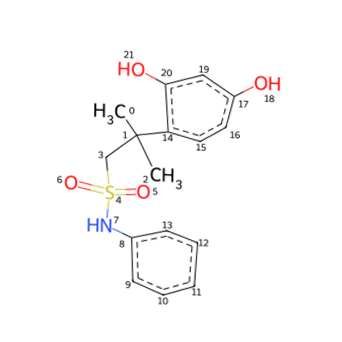 CC(C)(CS(=O)(=O)Nc1ccccc1)c1ccc(O)cc1O